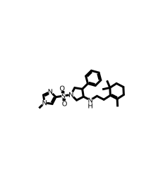 CC1=C(CCNC2CN(S(=O)(=O)c3cn(C)cn3)CC2c2ccccc2)C(C)(C)CCC1